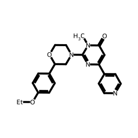 CCOc1ccc(C2CN(c3nc(-c4ccncc4)cc(=O)n3C)CCO2)cc1